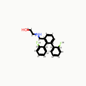 OCCNCc1cccc(-c2ccccc2F)c1-c1ccccc1F